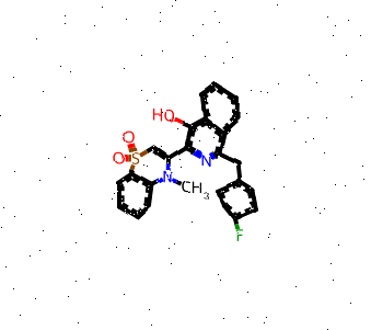 CN1C(c2nc(Cc3ccc(F)cc3)c3ccccc3c2O)=CS(=O)(=O)c2ccccc21